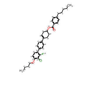 CCCCCc1ccc(C(=O)OC2CC=C(c3ccc(-c4ccc(OCCCC)c(Cl)c4F)cc3)CC2)cc1